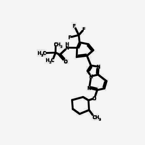 CC1CCCCC1Oc1ccc2nc(-c3ccc(C(F)(F)F)c(NC(=O)C(C)(C)C)c3)cn2n1